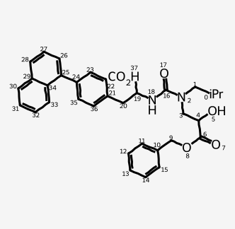 CC(C)CN(CC(O)C(=O)OCc1ccccc1)C(=O)NC(Cc1ccc(-c2cccc3ccccc23)cc1)C(=O)O